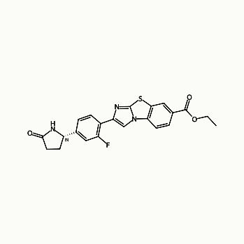 CCOC(=O)c1ccc2c(c1)sc1nc(-c3ccc([C@@H]4CCC(=O)N4)cc3F)cn12